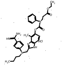 CCCCN(Cc1nc2c(C)c(OC(=O)N(CCC(=O)OCC)c3ccccc3)ccc2[nH]1)c1ccc(C(=N)N)cc1.Cl